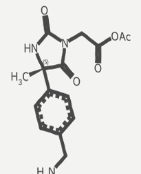 CC(=O)OC(=O)CN1C(=O)N[C@@](C)(c2ccc(CN)cc2)C1=O